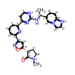 C[C@H](Nc1nccc(-c2cccc(-c3cc([C@@H]4CCN(C)C4=O)on3)n2)n1)c1ccc2nccn2c1